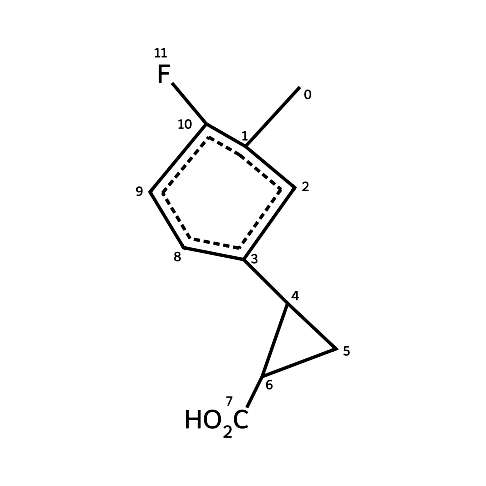 Cc1cc(C2CC2C(=O)O)ccc1F